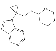 c1ncc2ccn(C3(COC4CCCCO4)CC3)c2n1